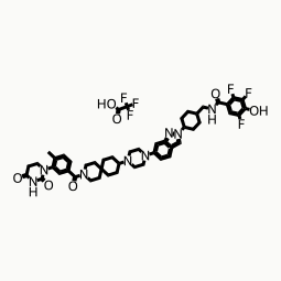 Cc1ccc(C(=O)N2CCC3(CCC(N4CCN(c5ccc6cn(C7CCC(CNC(=O)c8cc(F)c(O)c(F)c8F)CC7)nc6c5)CC4)CC3)CC2)cc1N1CCC(=O)NC1=O.O=C(O)C(F)(F)F